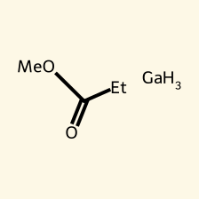 CCC(=O)OC.[GaH3]